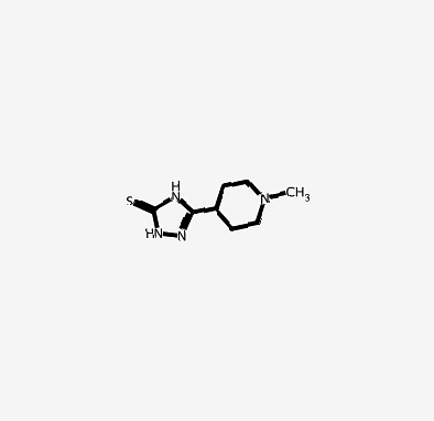 CN1CCC(c2n[nH]c(=S)[nH]2)CC1